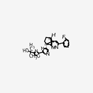 CC(C)(O)c1coc(-c2cncc([C@]34CC[C@H](C3)c3cc(-c5ccccc5F)nnc34)n2)n1